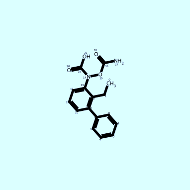 CCc1c(-c2ccccc2)cccc1N(OC(N)=O)C(=O)O